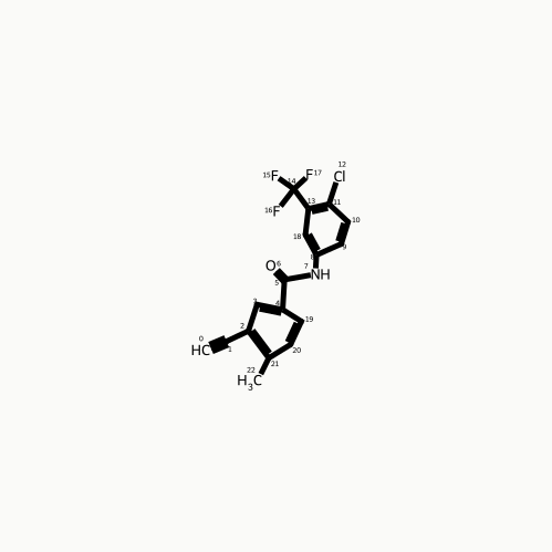 C#Cc1cc(C(=O)Nc2ccc(Cl)c(C(F)(F)F)c2)ccc1C